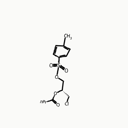 CCCC(=O)O[C@@H](CCl)COS(=O)(=O)c1ccc(C)cc1